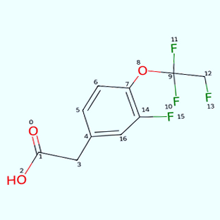 O=C(O)Cc1ccc(OC(F)(F)CF)c(F)c1